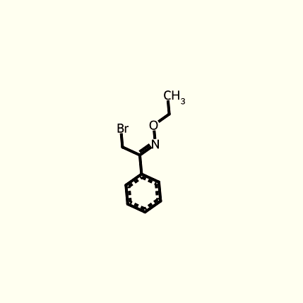 CCO/N=C(\CBr)c1ccccc1